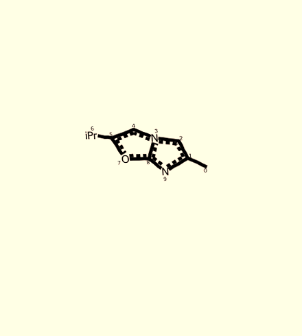 Cc1cn2cc(C(C)C)oc2n1